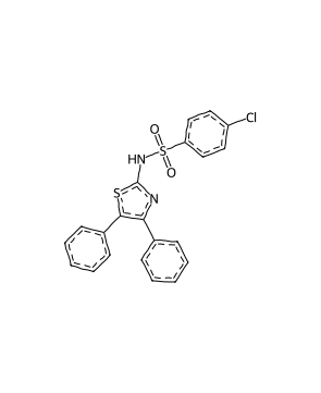 O=S(=O)(Nc1nc(-c2ccccc2)c(-c2ccccc2)s1)c1ccc(Cl)cc1